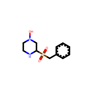 O=S(=O)(Cc1ccccc1)C1CN(O)CCN1